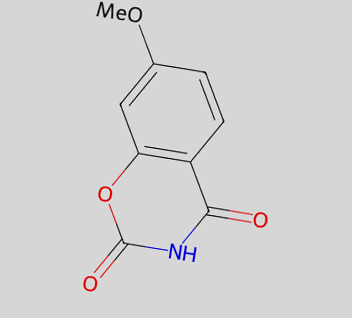 COc1ccc2c(=O)[nH]c(=O)oc2c1